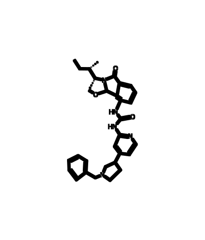 CC[C@H](C)[C@H]1COC2c3c(NC(=O)Nc4cc(C5CCN(Cc6ccccc6)C5)ccn4)cccc3C(=O)N21